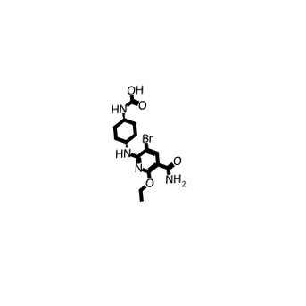 CCOc1nc(N[C@H]2CC[C@H](NC(=O)O)CC2)c(Br)cc1C(N)=O